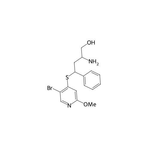 COc1cc(SC(CC(N)CO)c2ccccc2)c(Br)cn1